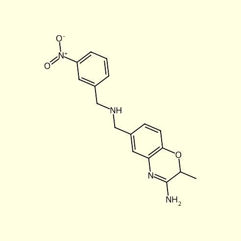 CC1Oc2ccc(CNCc3cccc([N+](=O)[O-])c3)cc2N=C1N